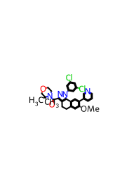 COc1cc2c(cc1-c1cccnc1)-c1c(c(C(=O)N3CCOCC3(C)C)nn1-c1cc(Cl)cc(Cl)c1)CC2